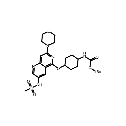 CC(C)(C)OC(=O)NC1CCC(Oc2nc(N3CCOCC3)cc3ncc(NS(C)(=O)=O)cc23)CC1